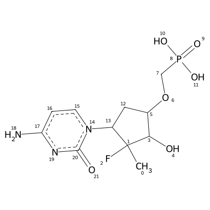 CC1(F)C(O)C(OCP(=O)(O)O)CC1n1ccc(N)nc1=O